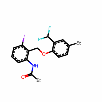 CCC(=O)Nc1cccc(I)c1COc1ccc(CC)cc1C(F)F